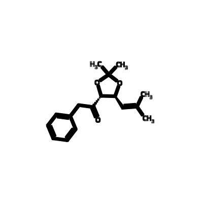 CC(C)=C[C@@H]1OC(C)(C)O[C@H]1C(=O)Cc1ccccc1